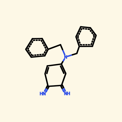 N=C1C=CC(N(Cc2ccccc2)Cc2ccccc2)=CC1=N